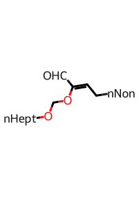 CCCCCCCCCCC=C(C=O)OCOCCCCCCC